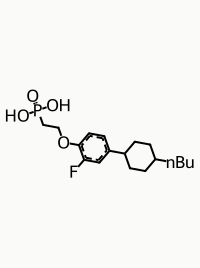 CCCCC1CCC(c2ccc(OCCP(=O)(O)O)c(F)c2)CC1